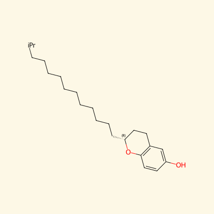 CC(C)CCCCCCCCCCC[C@@H]1CCc2cc(O)ccc2O1